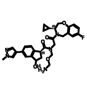 Cn1cc(-c2ccc3c(c2)C(O)C[C@@H]3C(=O)N(COCN)CC(=O)N2Cc3cc(F)ccc3OC[C@H]2C2CC2)cn1